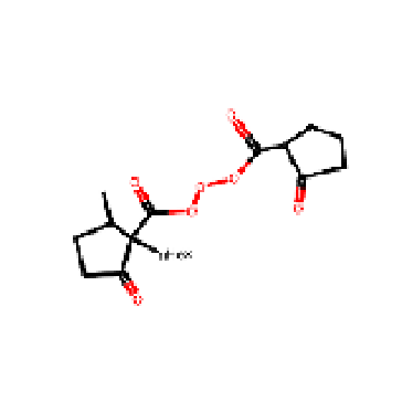 CCCCCCC1(C(=O)OOOC(=O)C2CCCC2=O)C(=O)CCC1C